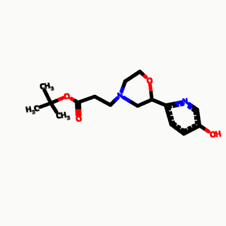 CC(C)(C)OC(=O)CCN1CCOC(c2ccc(O)cn2)C1